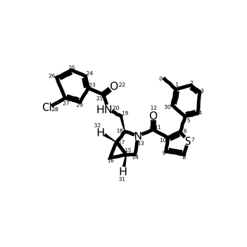 Cc1cccc(-c2sccc2C(=O)N2C[C@@H]3C[C@@H]3[C@H]2CNC(=O)c2cccc(Cl)c2)c1